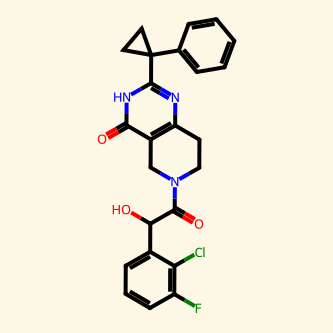 O=C(C(O)c1cccc(F)c1Cl)N1CCc2nc(C3(c4ccccc4)CC3)[nH]c(=O)c2C1